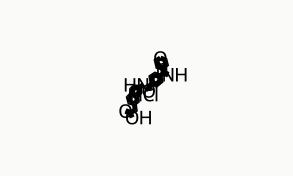 Cl.N=C(c1ccc(C(=O)Nc2ccc3c(c2)CC(CC(=O)O)CC3)cc1)N1CCOCC1